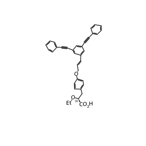 CCO[C@@H](Cc1ccc(OCC=Cc2cc(C#Cc3ccccc3)cc(C#Cc3ccccc3)c2)cc1)C(=O)O